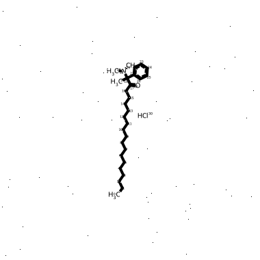 CCCCCCCCCCCCCCCCCC(=O)C(C)(c1ccccc1)N(C)C.Cl